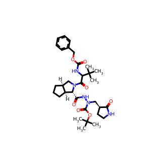 CC(C)(C)OC(=O)N(C[C@@H]1CCNC1=O)NC(=O)[C@@H]1[C@H]2CCC[C@H]2CN1C(=O)C(NC(=O)OCc1ccccc1)C(C)(C)C